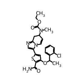 CCOC(=O)N(C)C1C=Cn2c(-c3cc(OC(C)c4ccccc4Cl)c(C(N)=O)s3)cnc2C1